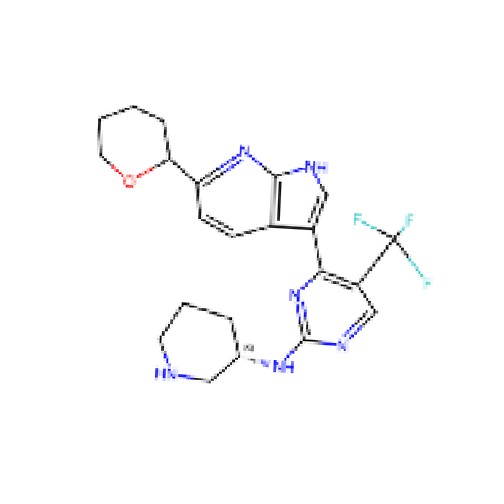 FC(F)(F)c1cnc(N[C@H]2CCCNC2)nc1-c1c[nH]c2nc(C3CCCCO3)ccc12